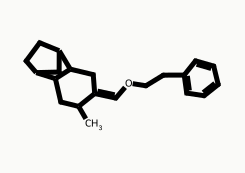 CC1CC2C3CCC(C3)C2CC1=COCCc1ccccc1